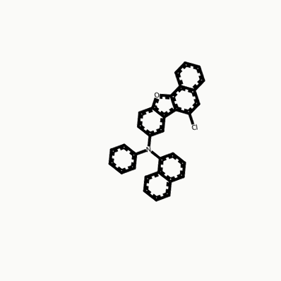 Clc1cc2ccccc2c2oc3ccc(N(c4ccccc4)c4cccc5ccccc45)cc3c12